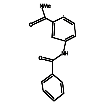 CNC(=O)c1[c]ccc(NC(=O)c2ccccc2)c1